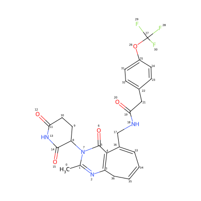 Cc1nc2c(c(=O)n1C1CCC(=O)NC1=O)C(CNC(=O)Cc1ccc(OC(F)(F)F)cc1)=CC=CC2